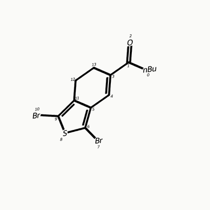 CCCCC(=O)C1=Cc2c(Br)sc(Br)c2CC1